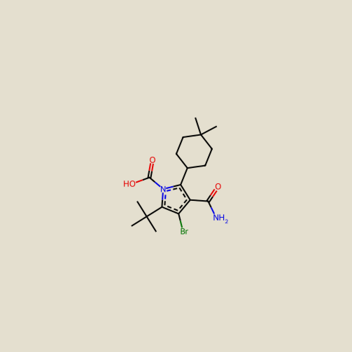 CC1(C)CCC(c2c(C(N)=O)c(Br)c(C(C)(C)C)n2C(=O)O)CC1